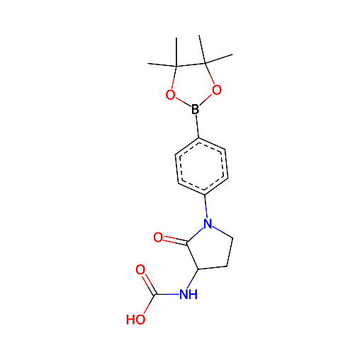 CC1(C)OB(c2ccc(N3CCC(NC(=O)O)C3=O)cc2)OC1(C)C